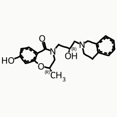 C[C@@H]1CN(C[C@H](O)CN2CCc3ccccc3C2)C(=O)c2ccc(O)cc2O1